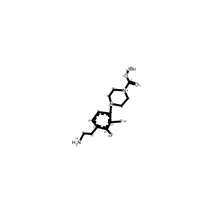 CC(C)(C)OC(=O)N1CCN(c2ccc(CCN)c(F)c2F)CC1